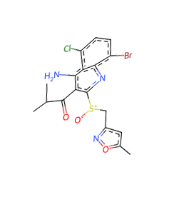 Cc1cc(C[S+]([O-])c2nc3c(Br)ccc(Cl)c3c(N)c2C(=O)C(C)C)no1